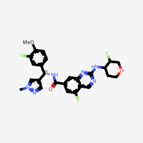 COc1ccc([C@H](NC(=O)c2cc(F)c3cnc(NC4CCOCC4F)nc3c2)c2cnn(C)c2)cc1F